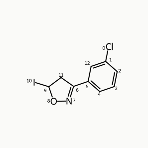 Clc1cccc(C2=NOC(I)C2)c1